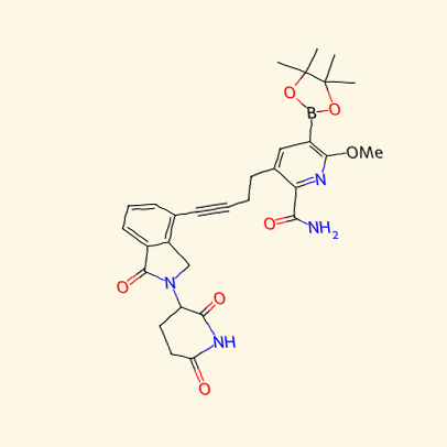 COc1nc(C(N)=O)c(CCC#Cc2cccc3c2CN(C2CCC(=O)NC2=O)C3=O)cc1B1OC(C)(C)C(C)(C)O1